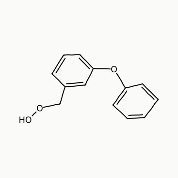 OOCc1cccc(Oc2ccccc2)c1